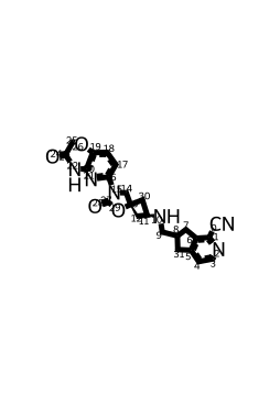 N#Cc1nccc2c1CC(CN[C@H]1C[C@@]3(CN(c4ccc5c(n4)NC(=O)CO5)C(=O)O3)C1)C2